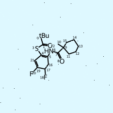 CC(C)(C)C(=O)SC1=C(NC(=O)C2(C)CCCCC2)CC(F)C(F)=C1